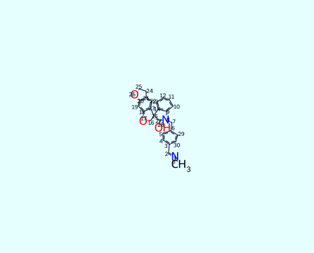 C/N=C/c1ccc(CN2c3ccccc3C3(COc4cc5c(cc43)CCO5)C2O)cc1